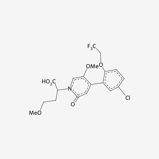 COCCC(C(=O)O)n1cc(OC)c(-c2cc(Cl)ccc2OCC(F)(F)F)cc1=O